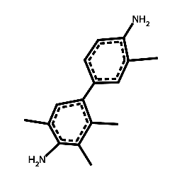 Cc1cc(-c2cc(C)c(N)c(C)c2C)ccc1N